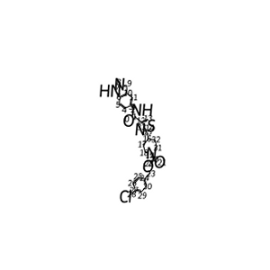 O=C(Nc1ccc2[nH]ncc2c1)c1csc(C2CCN(C(=O)OCc3ccc(Cl)cc3)CC2)n1